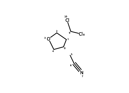 C1CCOC1.CC#N.ClCCl